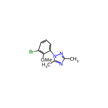 COc1c(Br)cccc1-n1nc(C)nc1C